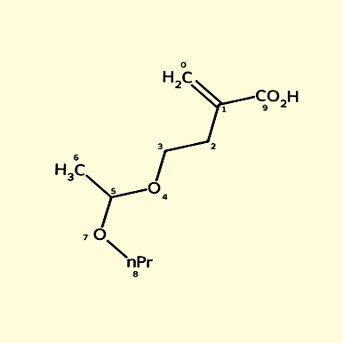 C=C(CCOC(C)OCCC)C(=O)O